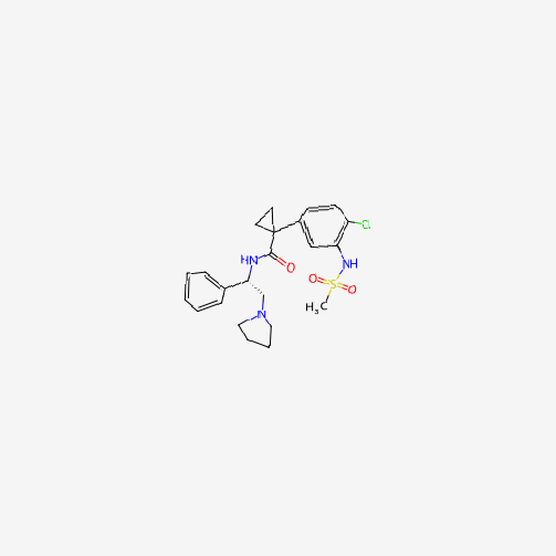 CS(=O)(=O)Nc1cc(C2(C(=O)N[C@H](CN3CCCC3)c3ccccc3)CC2)ccc1Cl